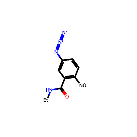 CCNC(=O)c1cc(N=[N+]=[N-])ccc1N=O